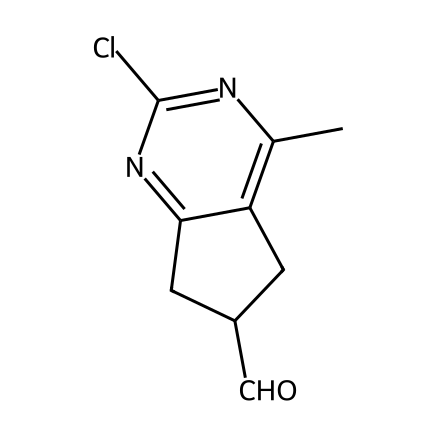 Cc1nc(Cl)nc2c1CC(C=O)C2